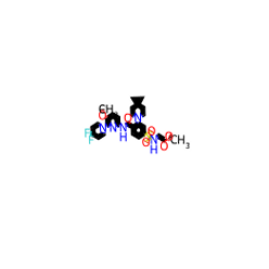 COC(=O)CNS(=O)(=O)c1ccc(C(=O)Nc2ccc(OC)c(N3CCC(F)(F)CC3)n2)c(N2CCC3(CC2)CC3)c1